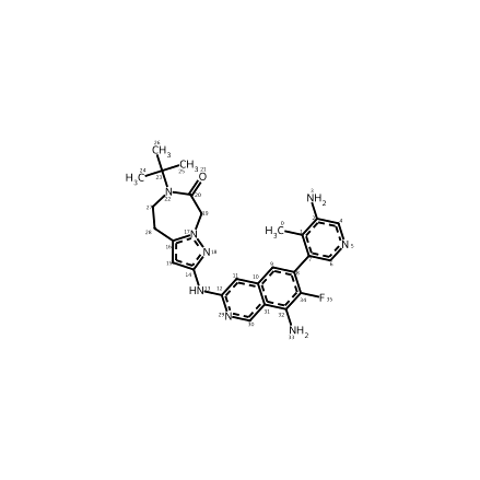 Cc1c(N)cncc1-c1cc2cc(Nc3cc4n(n3)CC(=O)N(C(C)(C)C)CC4)ncc2c(N)c1F